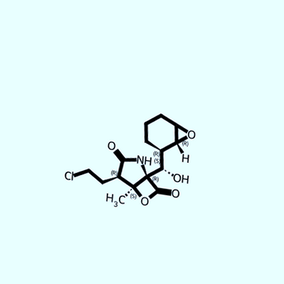 C[C@@]12OC(=O)[C@]1([C@@H](O)[C@H]1CCCC3O[C@@H]31)NC(=O)[C@@H]2CCCl